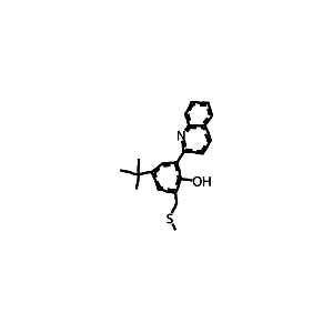 CSCc1cc(C(C)(C)C)cc(-c2ccc3ccccc3n2)c1O